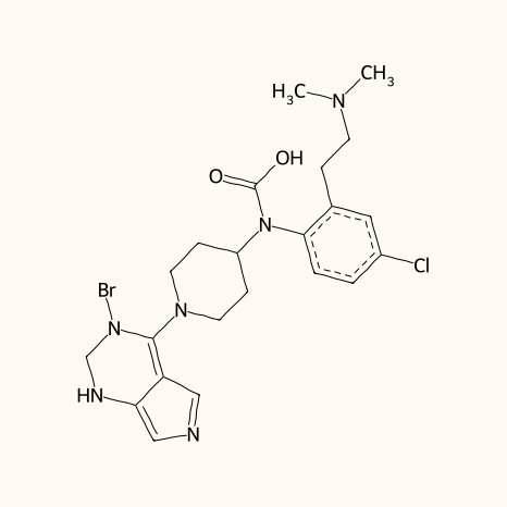 CN(C)CCc1cc(Cl)ccc1N(C(=O)O)C1CCN(C2=C3C=NC=C3NCN2Br)CC1